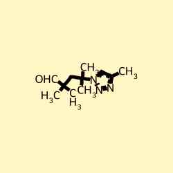 Cc1cn(C(C)(C)CC(C)(C)C=O)nn1